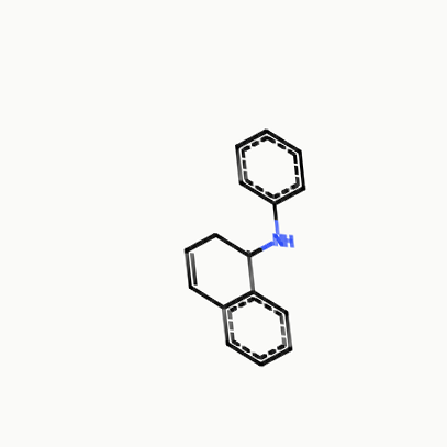 C1=Cc2ccccc2[C](Nc2ccccc2)C1